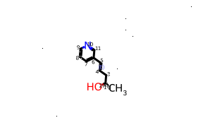 C[C@@H](O)C/C=C/c1cccnc1